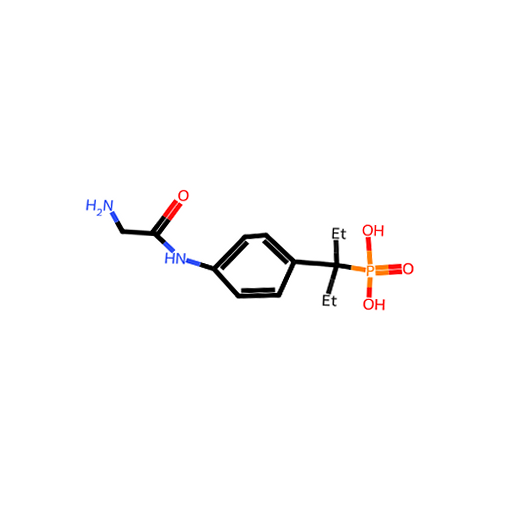 CCC(CC)(c1ccc(NC(=O)CN)cc1)P(=O)(O)O